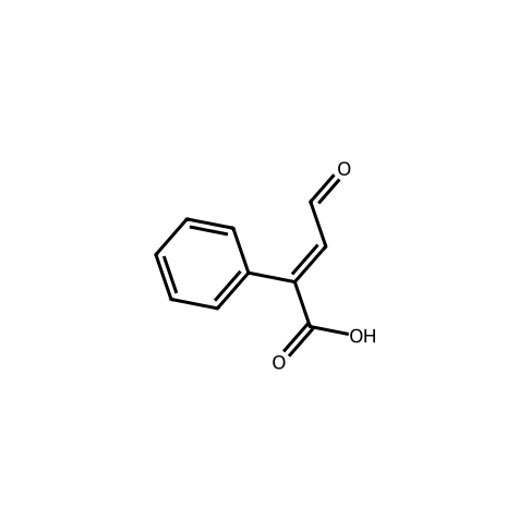 O=C/C=C(/C(=O)O)c1ccccc1